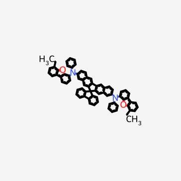 CCc1cccc2c1oc1c(N(c3ccccc3)c3ccc4cc5c(cc4c3)C3(c4ccccc4-c4ccccc43)c3cc4cc(N(c6ccccc6)c6cccc7c6oc6c(CC)cccc67)ccc4cc3-5)cccc12